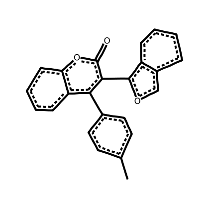 Cc1ccc(-c2c(-c3occ4ccccc34)c(=O)oc3ccccc23)cc1